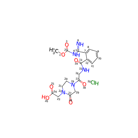 COC(=O)NC(=N)c1ccccc1C(=O)NCC(=O)N1CCN(CC(=O)O)C(=O)C1.Cl